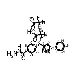 NNC(=O)c1cc[n+](Cc2cn(-c3ccccc3)nn2)cc1.O=C(O)C(F)(F)F.O=C([O-])C(F)(F)F